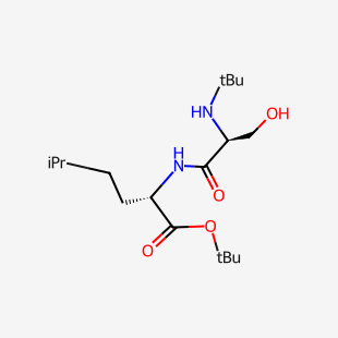 CC(C)CC[C@H](NC(=O)[C@H](CO)NC(C)(C)C)C(=O)OC(C)(C)C